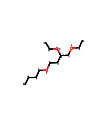 [CH2]COCC(CCOCCCC)OCC